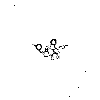 CCOCc1nc(O)c(C(=O)N2CCN(Cc3cccc(F)c3)CC2)c(O)c1-c1ccccc1OC